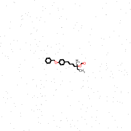 CCC(C)(C=CC=Cc1ccc(OCc2ccccc2)cc1)OC=O